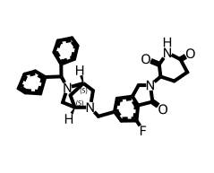 O=C1CCC(N2Cc3cc(CN4C[C@@H]5C[C@H]4CN5C(c4ccccc4)c4ccccc4)cc(F)c3C2=O)C(=O)N1